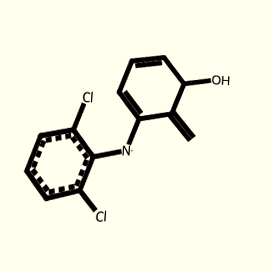 C=C1C([N]c2c(Cl)cccc2Cl)=CC=CC1O